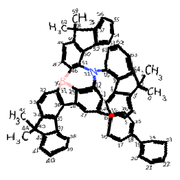 CC1(C)c2ccccc2-c2c(N3c4cc(-c5ccc(-c6ccccc6)cc5)cc5c4B(c4ccc6c(c4-5)-c4ccccc4C6(C)C)c4ccc5c(c43)-c3ccccc3C5(C)C)cccc21